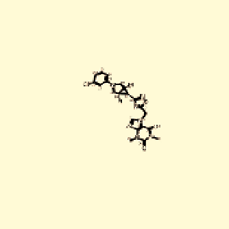 Cn1c(=O)c2c(ncn2Cc2nc([C@H]3[C@@H]4CN(c5cccc(Cl)c5)C[C@@H]43)no2)n(C)c1=O